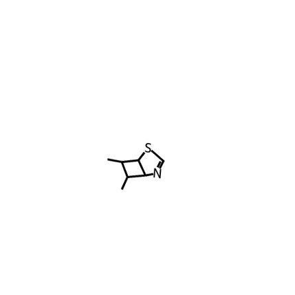 CC1C(C)C2SC=NC12